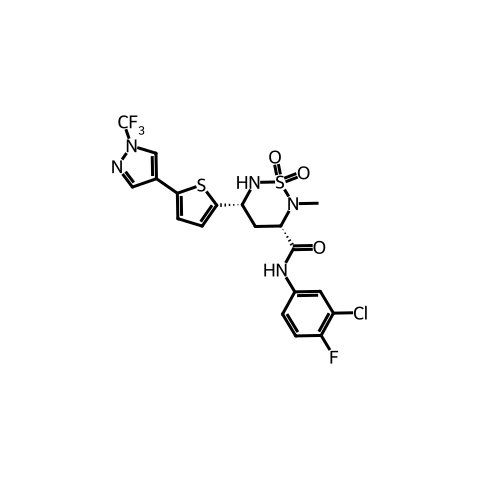 CN1[C@H](C(=O)Nc2ccc(F)c(Cl)c2)C[C@H](c2ccc(-c3cnn(C(F)(F)F)c3)s2)NS1(=O)=O